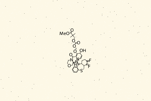 COC(=O)C(C)(C)COC(=O)OCOC1=C2C(=O)N3CCOC[C@H]3N([C@@H]3c4ccccc4SCC4C3CC[C@@H](F)[C@@H]4F)N2C=CC1O